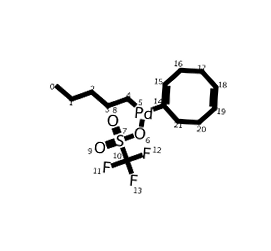 CCCC[CH2][Pd]([O]S(=O)(=O)C(F)(F)F)[C]1=CCCC=CCC1